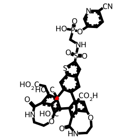 N#Cc1ccc(OP(=O)(O)CNS(=O)(=O)c2cc3cc(-c4cc5c(CC(=O)O)c(c4CC(=O)O)C(=O)NCCO5)c(-c4cc5c(CC(=O)O)c(c4CC(=O)O)C(=O)NCCO5)cc3s2)cn1